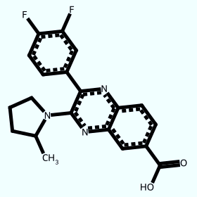 CC1CCCN1c1nc2cc(C(=O)O)ccc2nc1-c1ccc(F)c(F)c1